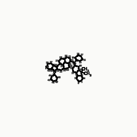 CC1(C)c2ccccc2-c2ccc(N(c3ccccc3)c3ccc4ccc5c6c(ccc3c46)cc3c5c4ccncc4n3-c3ccccc3)cc21